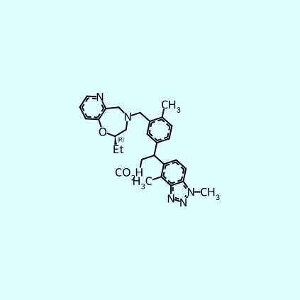 CC[C@@H]1CN(Cc2cc(C(CC(=O)O)c3ccc4c(nnn4C)c3C)ccc2C)Cc2ncccc2O1